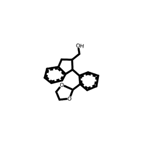 OCC1Cc2ccccc2C1c1ccccc1C1OCCO1